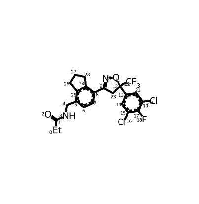 CCC(=O)NCc1ccc(C2=NOC(c3cc(Cl)c(F)c(Cl)c3)(C(F)(F)F)C2)c2c1CCC2